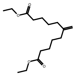 C=C(CCCCC(=O)OCC)CCCCC(=O)OCC